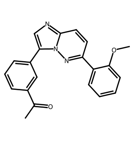 COc1ccccc1-c1ccc2ncc(-c3cccc(C(C)=O)c3)n2n1